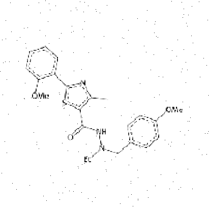 CCN(Cc1ccc(OC)cc1)NC(=O)c1sc(-c2ccccc2OC)nc1C